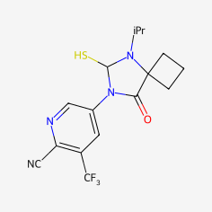 CC(C)N1C(S)N(c2cnc(C#N)c(C(F)(F)F)c2)C(=O)C12CCC2